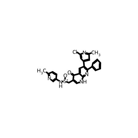 Cc1ccc(N[S+]([O-])Cc2c[nH]c3nc(-c4ccccc4)c(-c4cc(C)nc(Cl)c4)cc3c2=O)cn1